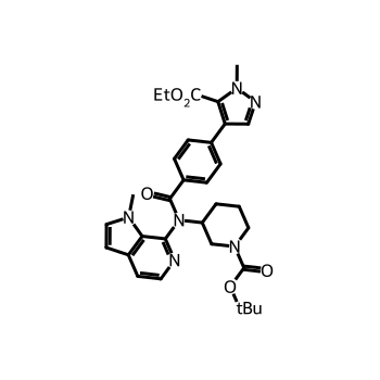 CCOC(=O)c1c(-c2ccc(C(=O)N(c3nccc4ccn(C)c34)C3CCCN(C(=O)OC(C)(C)C)C3)cc2)cnn1C